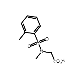 Cc1ccccc1S(=O)(=O)N(C)CC(=O)O